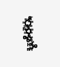 CCCC(=O)NC[C@H]1CN(c2ccc(N3CCC[S+]([O-])CC3)c(F)c2)C(=O)O1